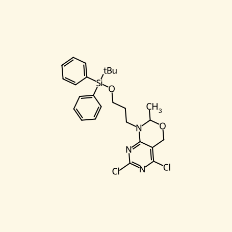 CC1OCc2c(Cl)nc(Cl)nc2N1CCCO[Si](c1ccccc1)(c1ccccc1)C(C)(C)C